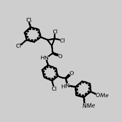 CNc1cc(NC(=O)c2cc(NC(=O)C3C(c4cc(Cl)cc(Cl)c4)C3(Cl)Cl)ccc2Cl)ccc1OC